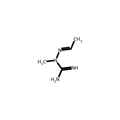 CC=NN(C)C(=N)N